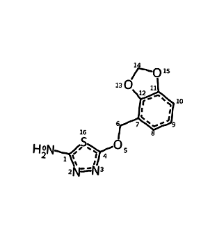 Nc1nnc(OCc2cccc3c2OCO3)s1